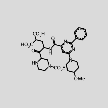 CCOC(=O)N1CCNC(C(=O)C(CC(C(=O)O)C(=O)O)NC(=O)c2cc(N3CCC(OC)CC3)nc(-c3ccccc3)n2)C1